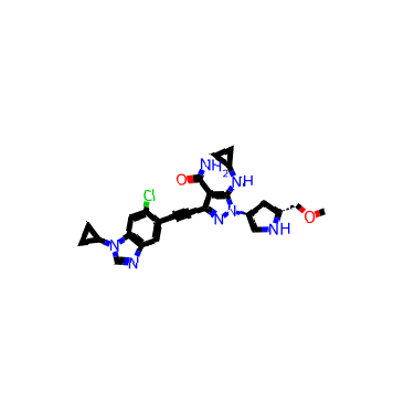 COC[C@H]1C[C@H](n2nc(C#Cc3cc4ncn(C5CC5)c4cc3Cl)c(C(N)=O)c2NC2CC2)CN1